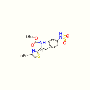 CCCc1csc([C@H](Cc2ccc(N[SH](=O)=O)cc2)NC(=O)OC(C)(C)C)n1